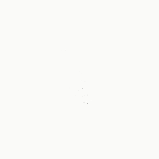 CNC(=O)[C@]1(COC)CC[C@H](c2ccc(OCc3ccccc3F)cc2)N1C(=O)O